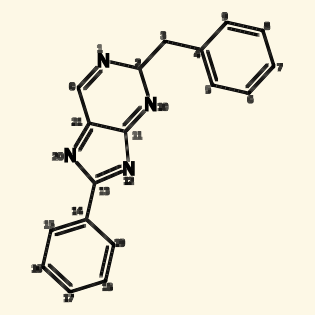 C1=NC(Cc2ccccc2)N=C2N=C(c3ccccc3)N=C12